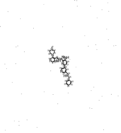 CN1CCN(c2cncc3[nH]c(-c4n[nH]c5ccc(-c6cncc(CNCc7ccccc7)c6)nc45)cc23)CC1